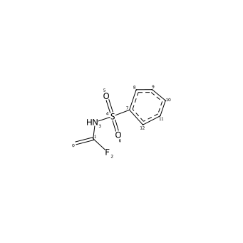 C=C(F)NS(=O)(=O)c1ccccc1